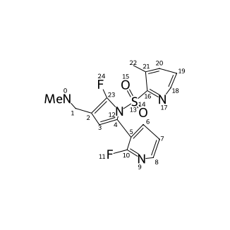 CNCc1cc(-c2cccnc2F)n(S(=O)(=O)c2ncccc2C)c1F